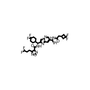 CC(C)C(NC(=O)CC1CC(F)(F)C1)c1cnn2cc([C@@H](NC(=O)c3nonc3CCC(F)F)C3CCC(F)(F)CC3)nc2c1